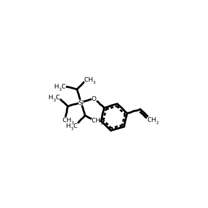 C=Cc1cccc(O[Si](C(C)C)(C(C)C)C(C)C)c1